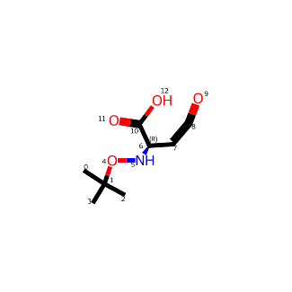 CC(C)(C)ON[C@H](C=C=O)C(=O)O